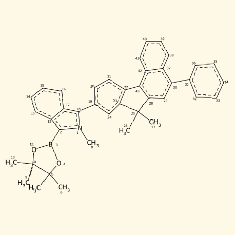 Cn1c(B2OC(C)(C)C(C)(C)O2)c2ccccc2c1-c1ccc2c(c1)C(C)(C)c1cc(-c3ccccc3)c3ccccc3c1-2